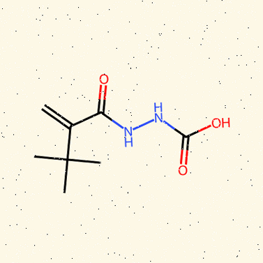 C=C(C(=O)NNC(=O)O)C(C)(C)C